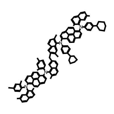 Cc1ccc(N(c2c(C)ccc3ccc(C)cc23)c2ccc3ccc4c(N(c5ccc(C)cc5C)c5c(C)ccc6ccc(Cc7cc8ccc(C)c(N(c9ccc(C%10CCCCC%10)cc9)c9ccc%10ccc%11c(N(c%12ccc(C%13CCCCC%13)cc%12)c%12c(C)ccc%13ccc(C)cc%12%13)ccc%12ccc9c%10c%12%11)c8cc7C)cc56)ccc5ccc2c3c54)c(C)c1